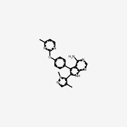 Cc1ccnc(Oc2ccc(-c3c(-c4c(C)cnn4C)[nH]c4ncnc(N)c34)cc2)n1